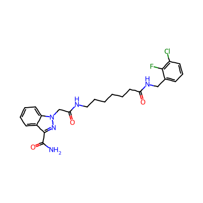 NC(=O)c1nn(CC(=O)NCCCCCCC(=O)NCc2cccc(Cl)c2F)c2ccccc12